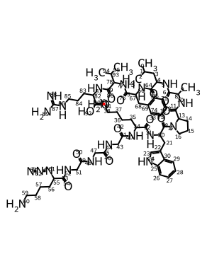 CC(C)CC(NC(=O)C(C)NC(=O)C1CCCN1C(=O)C(Cc1c[nH]c2ccccc12)NC(=O)C(CCCCN)NC(=O)CNC(=O)CNC(=O)CNC(=O)C(CCCCN)N=[N+]=[N-])C(=O)NC(Cc1ccccc1)C(=O)NC(C(=O)NC(CCCNC(=N)N)C(=O)O)C(C)C